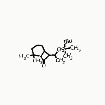 CC(O[Si](C)(C)C(C)(C)C)C1C(=O)N2C1CCCC2(C)C